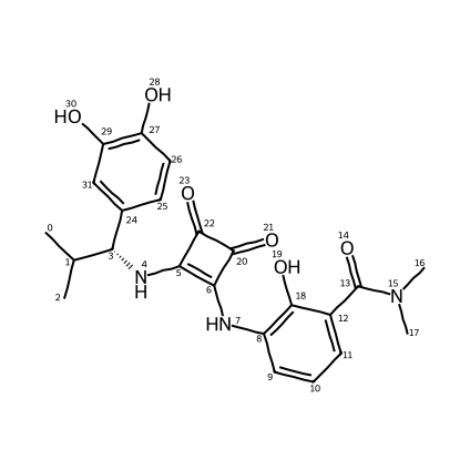 CC(C)[C@@H](Nc1c(Nc2cccc(C(=O)N(C)C)c2O)c(=O)c1=O)c1ccc(O)c(O)c1